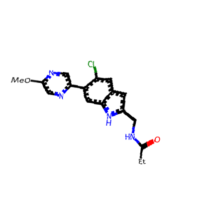 CCC(=O)NCc1cc2cc(Cl)c(-c3cnc(OC)cn3)cc2[nH]1